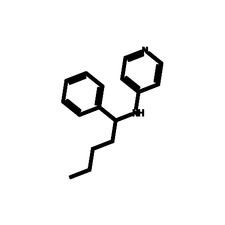 CCCCC(Nc1ccncc1)c1ccccc1